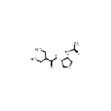 CCC(CC)C(=O)N[C@H]1COC[C@H]1NC(C)=O